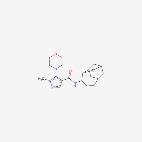 Cn1ncc(C(=O)NC2CCC3CC4CC(C3)C2C4)c1N1CCOCC1